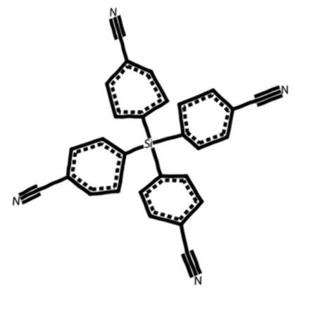 N#Cc1ccc([Si](c2ccc(C#N)cc2)(c2ccc(C#N)cc2)c2ccc(C#N)cc2)cc1